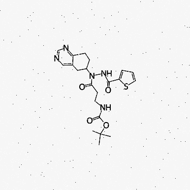 CC(C)(C)OC(=O)NCCC(=O)N(NC(=O)c1cccs1)C1CCc2ncncc2C1